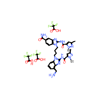 CCn1nc(C)cc1C(=O)Nc1nc2cc(C(N)=O)ccc2n1CCCCn1c(NC(=O)c2cc(C)nn2CC)nc2c(CN)cccc21.O=C(O)C(F)(F)F.O=C(O)C(F)(F)F.O=C(O)C(F)(F)F